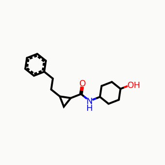 O=C(NC1CCC(O)CC1)C1CC1CCc1ccccc1